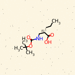 CCC[C@@H](CNC(=O)OC(C)(C)C)C(=O)O